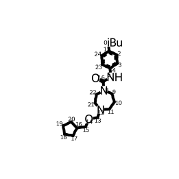 CCC(C)c1ccc(NC(=O)N2CCCN(COCC3CCCC3)CC2)cc1